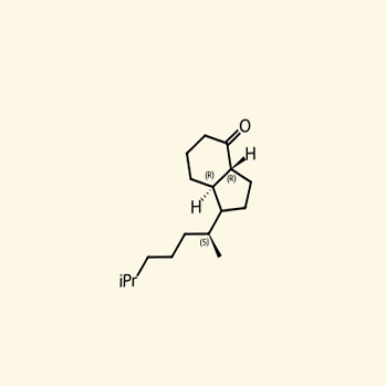 CC(C)CCC[C@H](C)C1CC[C@H]2C(=O)CCC[C@H]12